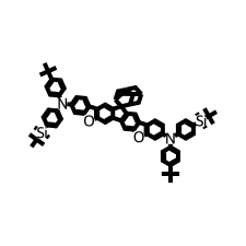 CC(C)(C)c1ccc(N(c2ccc([Si](C)(C)C(C)(C)C)cc2)c2ccc3c(c2)oc2cc4c(cc23)C2(c3cc5c(cc3-4)oc3cc(N(c4ccc(C(C)(C)C)cc4)c4ccc([Si](C)(C)C(C)(C)C)cc4)ccc35)C3CC4CC(C3)CC2C4)cc1